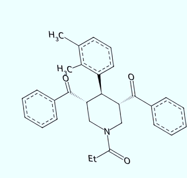 CCC(=O)N1C[C@H](C(=O)c2ccccc2)[C@@H](c2cccc(C)c2C)[C@H](C(=O)c2ccccc2)C1